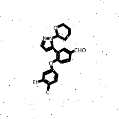 CCc1cc(Oc2ccc(C=O)cc2-c2ccnn2C2CCCCO2)ccc1Cl